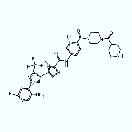 Cn1c(-c2cn(-c3cc(F)ncc3N)nc2C(F)(F)F)cnc1C(=O)Nc1ccc(C(=O)N2CCN(C(=O)C3CCNCC3)CC2)c(Cl)c1